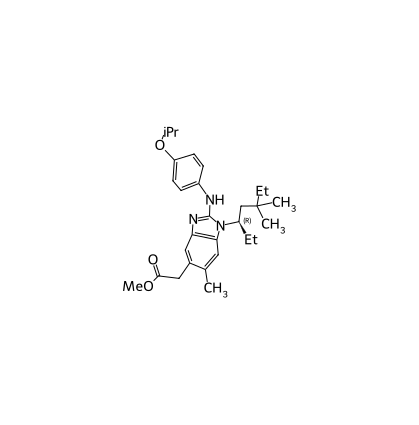 CC[C@H](CC(C)(C)CC)n1c(Nc2ccc(OC(C)C)cc2)nc2cc(CC(=O)OC)c(C)cc21